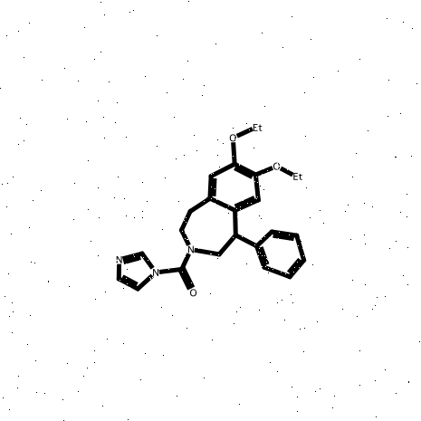 CCOc1cc2c(cc1OCC)C(c1ccccc1)CN(C(=O)n1ccnc1)CC2